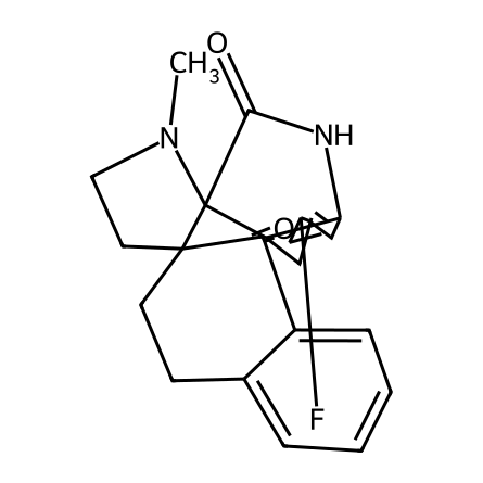 CN1CCC2(CCc3ccccc3C2=O)C12C(=O)Nc1ccc(F)cc12